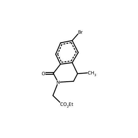 CCOC(=O)CN1CC(C)c2cc(Br)ccc2C1=O